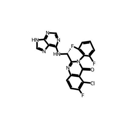 C[C@@H](Nc1ncnc2[nH]cnc12)c1nc2ccc(F)c(Cl)c2c(=O)n1-c1c(F)cccc1F